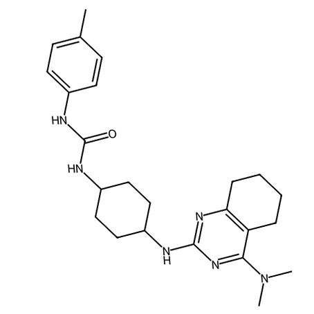 Cc1ccc(NC(=O)NC2CCC(Nc3nc4c(c(N(C)C)n3)CCCC4)CC2)cc1